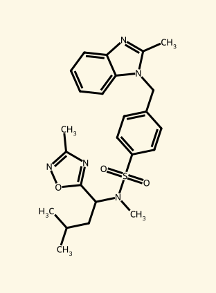 Cc1noc(C(CC(C)C)N(C)S(=O)(=O)c2ccc(Cn3c(C)nc4ccccc43)cc2)n1